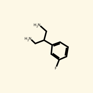 NCC(CN)c1cccc(F)c1